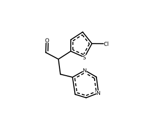 O=CC(Cc1ccncn1)c1ccc(Cl)s1